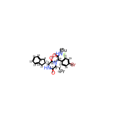 CC(C)C[C@@H]1C(=O)N[C@H](C2Cc3ccccc3C2)C(=O)N1[C@@H](C(=O)NC(C)(C)C)c1ccc(Br)cc1F